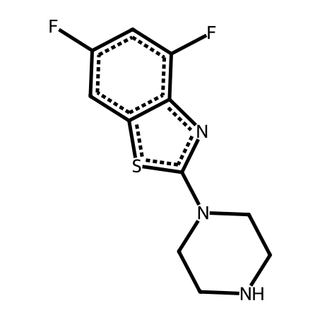 Fc1cc(F)c2nc(N3CCNCC3)sc2c1